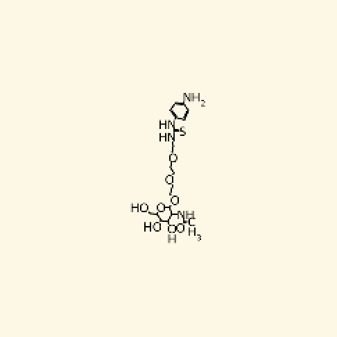 CC(=O)NC1C(O)[C@@H](O)C(CO)O[C@H]1OCCOCCOCCNC(=S)Nc1ccc(N)cc1